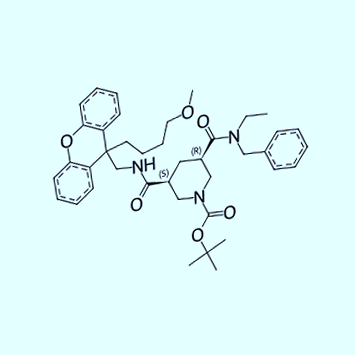 CCN(Cc1ccccc1)C(=O)[C@@H]1C[C@H](C(=O)NCC2(CCCCOC)c3ccccc3Oc3ccccc32)CN(C(=O)OC(C)(C)C)C1